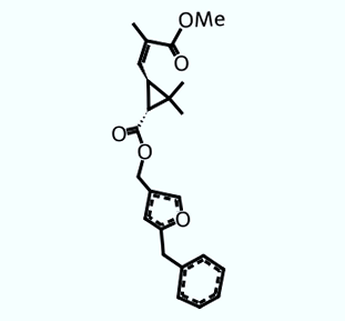 COC(=O)C(C)=C[C@@H]1[C@@H](C(=O)OCc2coc(Cc3ccccc3)c2)C1(C)C